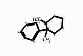 CC1CCCCC1(C)c1[c]cccc1